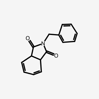 O=C1C2C=CC=CC2C(=O)N1Cc1ccccc1